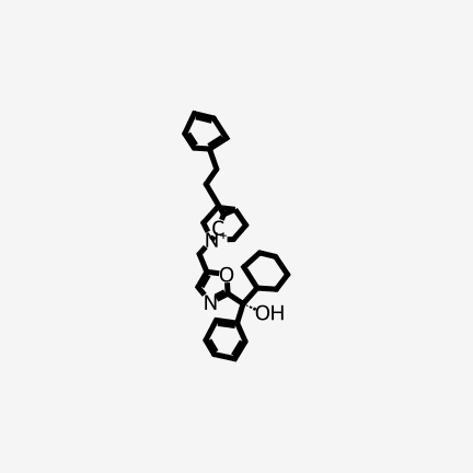 O[C@](c1ccccc1)(c1ncc(C[N+]23CCC(CC2)C(CCc2ccccc2)C3)o1)C1CCCCC1